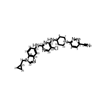 N#Cc1ccc(N2CCC(Nc3nc(Nc4ccc5c(c4)ncn5CC4CC4)ncc3Cl)CC2)nn1